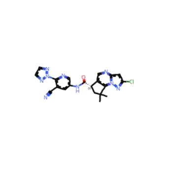 CC1(C)C[C@H](C(=O)Nc2cnc(-n3nccn3)c(C#N)c2)c2cnc3cc(Cl)nn3c21